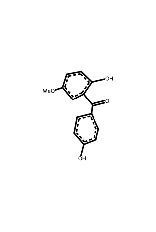 COc1ccc(O)c(C(=O)c2ccc(O)cc2)c1